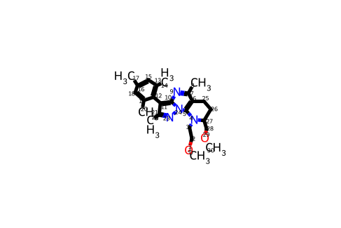 COCCN1c2c(c(C)nc3c(-c4c(C)cc(C)cc4C)c(C)nn23)CCC1COC